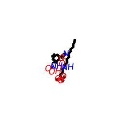 CC1(C)CCCC(C)(CNC(=O)O)C1.CCCCCCC(CCCC(=O)NCCC[Si](OC)(OC)OC)N=C=O